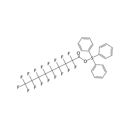 O=C(OS(c1ccccc1)(c1ccccc1)c1ccccc1)C(F)(F)C(F)(F)C(F)(F)C(F)(F)C(F)(F)C(F)(F)C(F)(F)C(F)(F)F